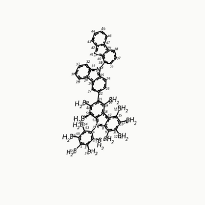 Bc1c(B)c(B)c(-n2c3c(B)c(B)c(B)c(B)c3c3c(B)c(-c4ccc5c(c4)c4ccccc4n5-c4cccc5c4sc4ccccc45)c(B)c(B)c32)c(B)c1B